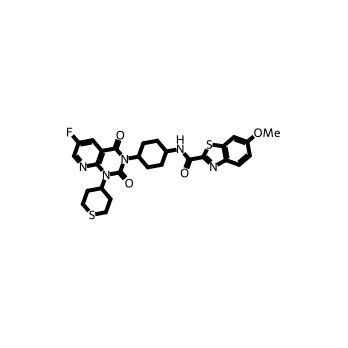 COc1ccc2nc(C(=O)NC3CCC(n4c(=O)c5cc(F)cnc5n(C5CCSCC5)c4=O)CC3)sc2c1